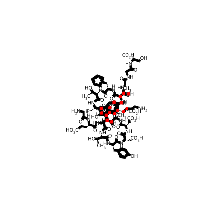 CC(C)[C@H](NC(=O)[C@@H](NC(=O)[C@H](Cc1ccccc1)NC(=O)[C@@H](NC(=O)[C@H](CCCCN)NC(=O)[C@@H](NC(=O)[C@H](C)NC(=O)[C@H](CC(=O)O)NC(=O)[C@H](CC(=O)O)NC(=O)[C@H](Cc1ccc(O)cc1)NC(=O)[C@@H](NC(=O)[C@H](Cc1c[nH]c2ccccc12)NC(=O)[C@H](CCC(=O)O)NC(=O)CN)[C@@H](C)O)[C@@H](C)O)[C@@H](C)O)[C@@H](C)O)C(=O)N[C@H](C(=O)N[C@@H](CCC(=O)O)C(=O)NCC(=O)NCC(=O)NCC(=O)N[C@@H](CO)C(=O)O)[C@@H](C)O